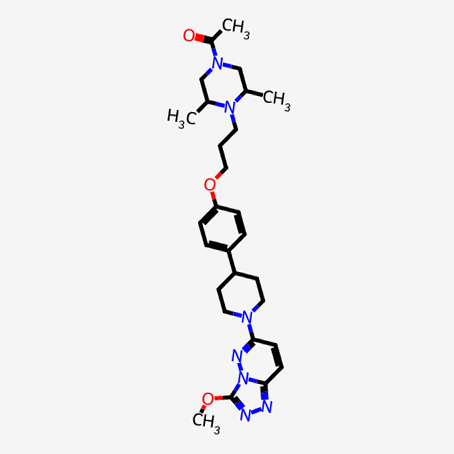 COc1nnc2ccc(N3CCC(c4ccc(OCCCN5C(C)CN(C(C)=O)CC5C)cc4)CC3)nn12